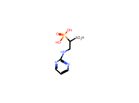 O=P(O)(O)C(CNc1ncccn1)S(=O)(=O)O